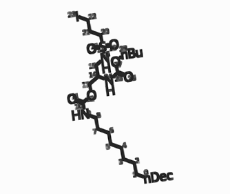 CCCCCCCCCCCCCCCCCCNC(=O)OCC(CNS(=O)(=O)CCCI)NC(=O)OCCCC